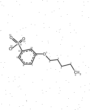 CCCCCOc1cccc(S(=O)(=O)Cl)c1